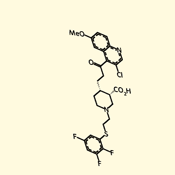 COc1ccc2ncc(Cl)c(C(=O)CC[C@H]3CCN(CCSc4cc(F)cc(F)c4F)C[C@H]3C(=O)O)c2c1